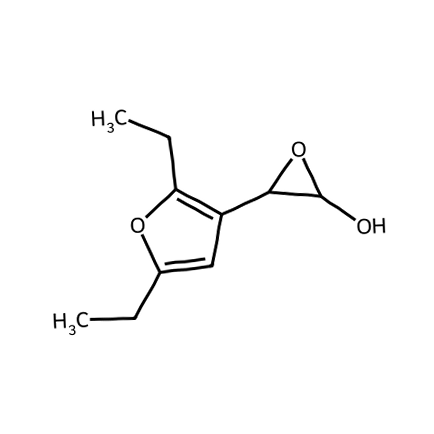 CCc1cc(C2OC2O)c(CC)o1